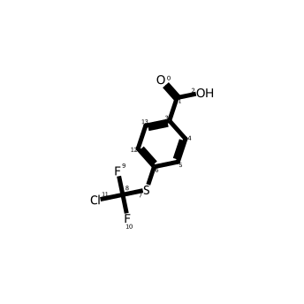 O=C(O)c1ccc(SC(F)(F)Cl)cc1